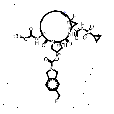 CC(C)(C)OC(=O)N[C@H]1CCCCC/C=C\[C@@H]2C[C@@]2(C(=O)NS(=O)(=O)C2CC2)NC(=O)[C@@H]2C[C@@H](OC(=O)N3Cc4ccc(CF)cc4C3)CN2C1=O